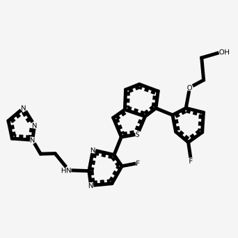 OCCOc1ccc(F)cc1-c1cccc2cc(-c3nc(NCCn4ccnn4)ncc3F)sc12